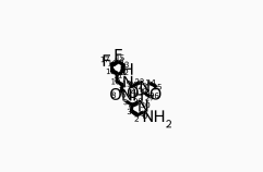 Nc1ccc(CNC(=O)C(Cc2ccc(F)c(F)c2)NC(=O)CN2CCOCC2)cn1